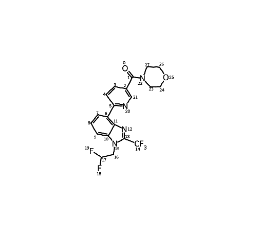 O=C(c1ccc(-c2cccc3c2nc(C(F)(F)F)n3CC(F)F)nc1)N1CCOCC1